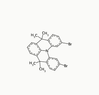 CC1(C)c2ccc(Br)cc2N2c3cc(Br)ccc3C(C)(C)c3cccc1c32